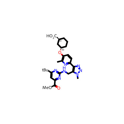 COC(=O)c1cc(C(C)(C)C)nc(NCc2c(-c3ccc(O[C@H]4CCC[C@H](C(=O)O)C4)c(C)n3)nnn2C)n1